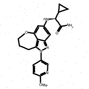 COc1ccc(-n2nc3cc(N[C@H](C(N)=O)C4CC4)cc4c3c2CCCO4)cn1